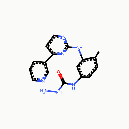 Cc1ccc(NC(=O)NN)cc1Nc1nccc(-c2cccnc2)n1